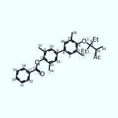 CCC(CC)(Oc1c(C)cc(-c2cc(C)c(OC(=O)c3ccccc3)c(C)c2)cc1C)C(C)C(C)=O